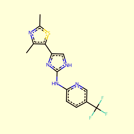 Cc1nc(C)c(-c2c[nH]c(Nc3ccc(C(F)(F)F)cn3)n2)s1